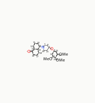 COc1cc(OC2CCN(c3cccc4c([O])cccc34)CC2)cc(OC)c1OC